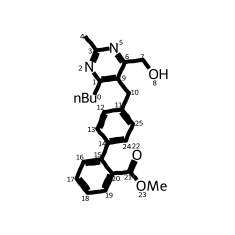 CCCCc1nc(C)nc(CO)c1Cc1ccc(-c2ccccc2C(=O)OC)cc1